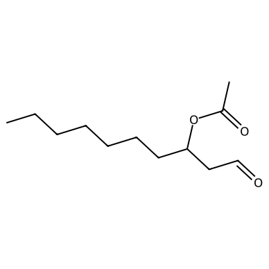 CCCCCCCC(CC=O)OC(C)=O